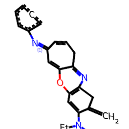 C=C1CC2=C(C=C1N(CC)CC)OC1=C/C(=N/c3ccccc3)C=CCC1=N2